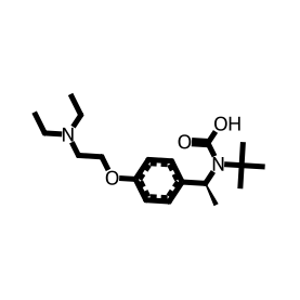 CCN(CC)CCOc1ccc([C@H](C)N(C(=O)O)C(C)(C)C)cc1